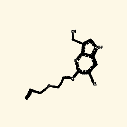 C=CCOCCOc1nc2c(CC#N)c[nH]c2cc1Cl